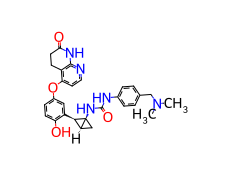 CN(C)Cc1ccc(NC(=O)N[C@@]23C[C@H]2[C@H]3c2cc(Oc3ccnc4c3CCC(=O)N4)ccc2O)cc1